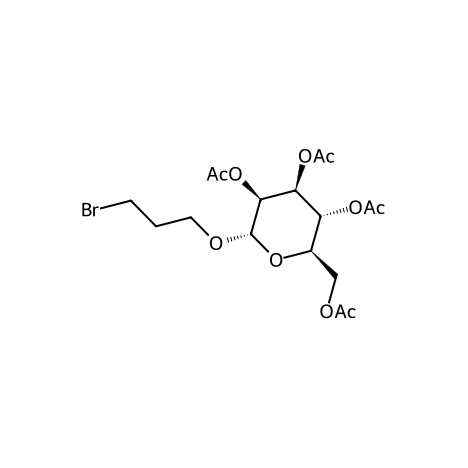 CC(=O)OC[C@H]1O[C@H](OCCCBr)[C@@H](OC(C)=O)[C@@H](OC(C)=O)[C@@H]1OC(C)=O